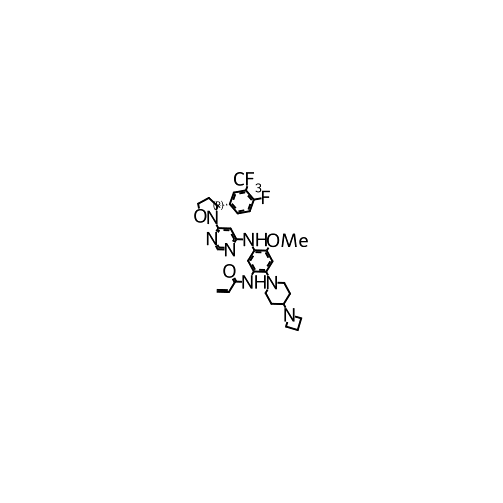 C=CC(=O)Nc1cc(Nc2cc(N3OCC[C@@H]3c3ccc(F)c(C(F)(F)F)c3)ncn2)c(OC)cc1N1CCC(N2CCC2)CC1